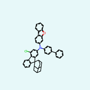 Clc1cc(N(c2ccc(-c3ccccc3)cc2)c2ccc3c(c2)oc2ccccc23)cc2c1-c1ccccc1C21C2CC3CC(C2)CC1C3